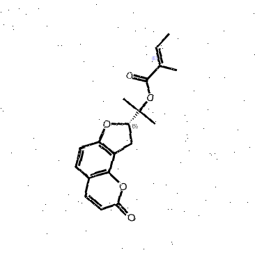 C/C=C(\C)C(=O)OC(C)(C)[C@@H]1Cc2c(ccc3ccc(=O)oc23)O1